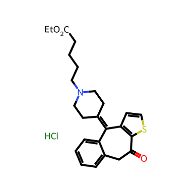 CCOC(=O)CCCCN1CCC(=C2c3ccccc3CC(=O)c3sccc32)CC1.Cl